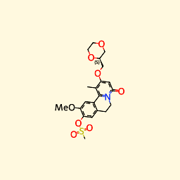 COc1cc2c(cc1OS(C)(=O)=O)CCn1c-2c(C)c(OC[C@@H]2COCCO2)cc1=O